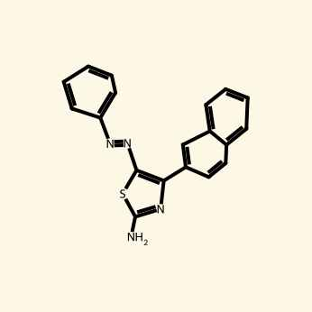 Nc1nc(-c2ccc3ccccc3c2)c(N=Nc2ccccc2)s1